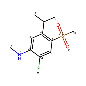 CNc1cc(C(C)C)c(S(C)(=O)=O)cc1F